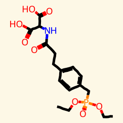 CCOP(=O)(Cc1ccc(CCC(=O)NC(C(=O)O)C(=O)O)cc1)OCC